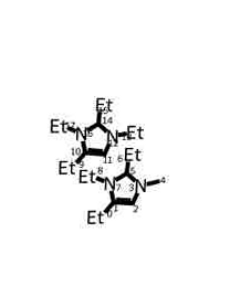 CCC1=CN(C)C(CC)N1CC.CCC1=CN(CC)C(CC)N1CC